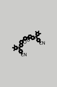 Cc1cc(N(c2ccc(C#N)cc2)c2ccc3c(ccc4c5ccc6c7ccc8cc(N(c9ccc(C#N)cc9)c9cc(C)c(C)c(C)c9)ccc8c7oc6c5oc34)c2)cc(C)c1C